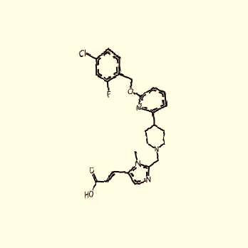 Cn1c(C=CC(=O)O)cnc1CN1CCC(c2cccc(OCc3ccc(Cl)cc3F)n2)CC1